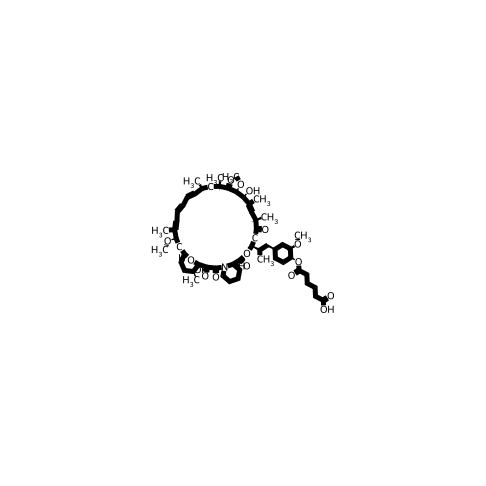 CO[C@H]1C[C@@H]2CC[C@@H](C)[C@@](O)(O2)C(=O)C(=O)N2CCCC[C@H]2C(=O)O[C@H](C(C)C[C@@H]2CC[C@@H](OC(=O)CCCCC(=O)O)[C@H](OC)C2)CC(=O)[C@H](C)/C=C(\C)[C@@H](O)[C@@H](OC)C(=O)[C@H](C)C[C@H](C)/C=C/C=C/C=C/1C